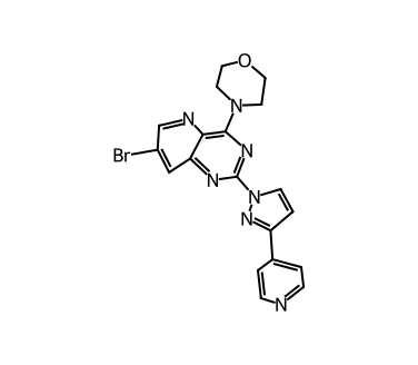 Brc1cnc2c(N3CCOCC3)nc(-n3ccc(-c4ccncc4)n3)nc2c1